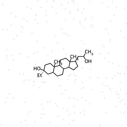 CC[C@]1(O)CCC2(C)C(CCC3C4CCC(CC(C)O)C4(C)CCC32)C1